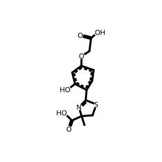 CC1(C(=O)O)CSC(c2ccc(OCC(=O)O)cc2O)=N1